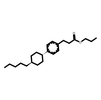 CCCCC[C@H]1CC[C@H](c2ccc(CCC(=O)OCCC)cc2)CC1